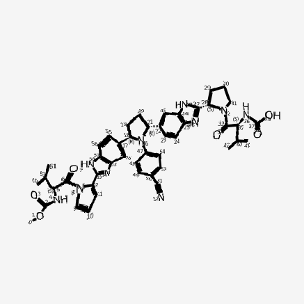 COC(=O)N[C@H](C(=O)n1cccc1-c1nc2cc([C@H]3CC[C@H](c4ccc5nc([C@@H]6CCCN6C(=O)[C@@H](NC(=O)O)C(C)C)[nH]c5c4)N3c3ccc(C#N)cc3)ccc2[nH]1)C(C)C